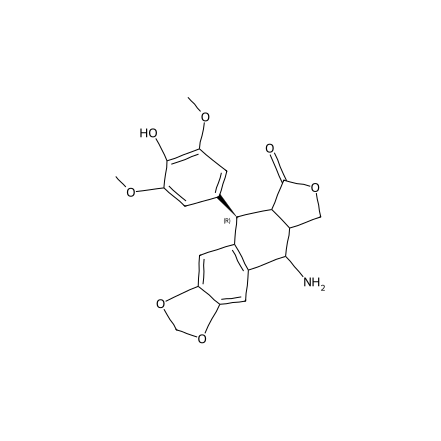 COc1cc([C@@H]2c3cc4c(cc3C(N)C3COC(=O)C32)OCO4)cc(OC)c1O